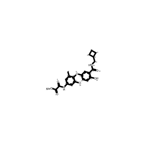 COC(=O)C(=O)Nc1cc(C)c(Oc2ccc(O)c(C(=O)NCC3CCC3)c2)c(Cl)c1